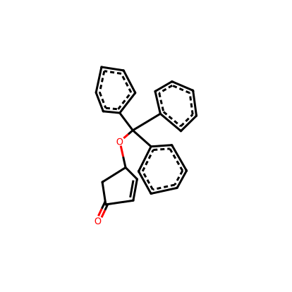 O=C1C=CC(OC(c2ccccc2)(c2ccccc2)c2ccccc2)C1